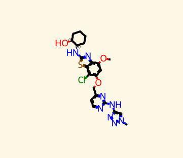 COc1cc(OCc2ccnc(Nc3cn(C)nn3)n2)c(Cl)c2sc(N[C@H]3CCCC[C@@H]3O)nc12